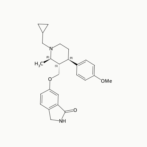 COc1ccc([C@@H]2CCN(CC3CC3)[C@H](C)[C@H]2COc2ccc3c(c2)C(=O)NC3)cc1